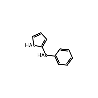 C1=C[AsH]C([AsH]c2ccccc2)=C1